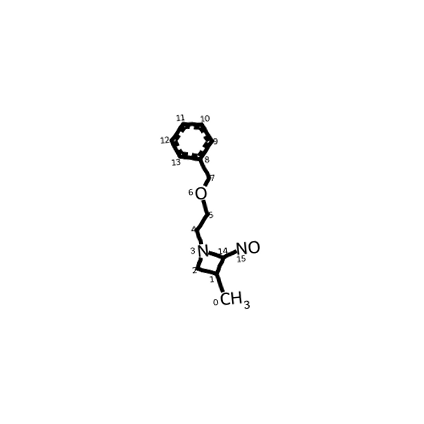 CC1CN(CCOCc2ccccc2)C1N=O